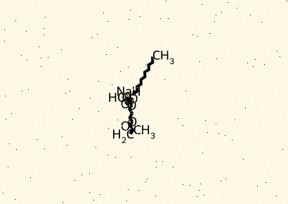 C=C(C)C(=O)OCCCOP(=O)(OO)OCCCCCCCCCCCC.[NaH]